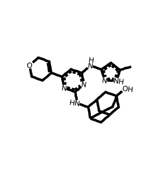 Cc1cc(Nc2cc(C3=CCOCC3)nc(NC3C4CC5CC3CC(O)(C5)C4)n2)n[nH]1